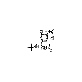 CC(=O)Nc1c(Cl)cc(C(O)CNC(C)(C)C)cc1Cl.CC(=O)O